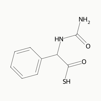 NC(=O)NC(C(=O)S)c1ccccc1